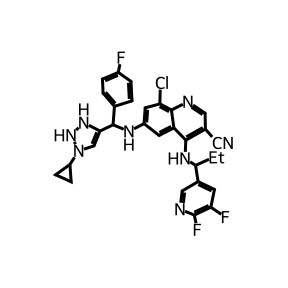 CCC(Nc1c(C#N)cnc2c(Cl)cc(NC(C3=CN(C4CC4)NN3)c3ccc(F)cc3)cc12)c1cnc(F)c(F)c1